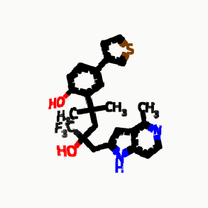 Cc1nccc2[nH]c(CC(O)(CC(C)(C)c3cc(-c4ccsc4)ccc3O)C(F)(F)F)cc12